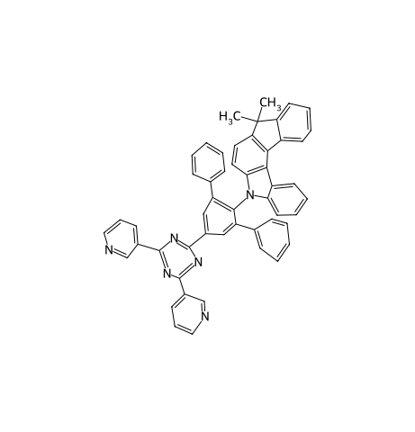 CC1(C)c2ccccc2-c2c1ccc1c2c2ccccc2n1-c1c(-c2ccccc2)cc(-c2nc(-c3cccnc3)nc(-c3cccnc3)n2)cc1-c1ccccc1